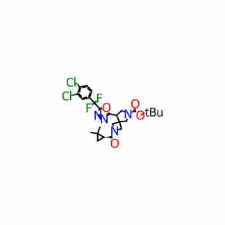 CC(C)(C)OC(=O)N1CC(c2nnc(C(F)(F)c3ccc(Cl)c(Cl)c3)o2)C2(C1)CN(C(=O)[C@H]1CC1(C)C)C2